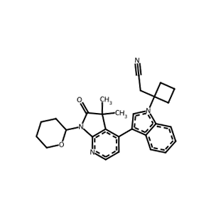 CC1(C)C(=O)N(C2CCCCO2)c2nccc(-c3cn(C4(CC#N)CCC4)c4ccccc34)c21